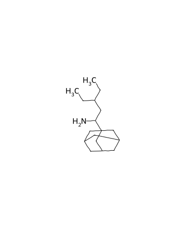 CCC(CC)CC(N)C12CC3CC(CC(C3)C1)C2